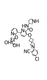 CCOc1ncccc1-c1ccc(OC2CC3(C2)CN(c2ccc(Cl)cc2C#N)C3)c(C(=O)N[C@@H]2CCNC2)n1.O=CO